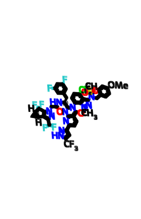 COc1ccc(CN(c2nn(C)c3c(-n4c([C@H](Cc5cc(F)cc(F)c5)NC(=O)Cn5nc(C(F)F)c6c5C(F)(F)[C@@H]5C[C@H]65)nc5nc(-c6cc(C(F)(F)F)[nH]n6)ccc5c4=O)ccc(Cl)c23)S(C)(=O)=O)cc1